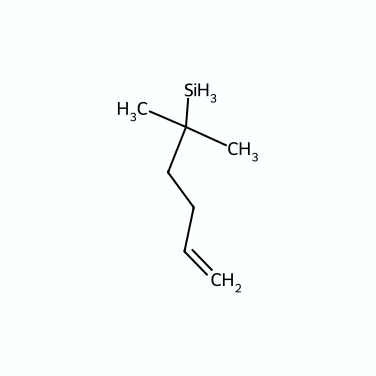 C=CCCC(C)(C)[SiH3]